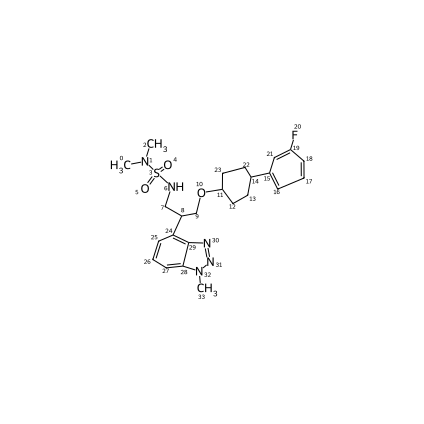 CN(C)S(=O)(=O)NCC(COC1CCC(c2cccc(F)c2)CC1)c1cccc2c1nnn2C